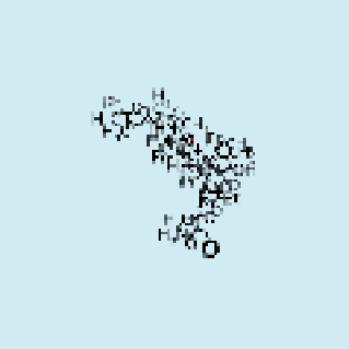 C/C=C\C[C@@H](C)[C@H](O)C(C(=O)N[C@@H](CC)C(=O)N(C)CC(=O)N(C)[C@@H](Cc1ccccc1)C(N)=O)N(C)C(=O)[C@@H](C(C)C)N(C)C(=O)[C@@H](CC(C)C)N(C)C(=O)[C@@H](CC(C)C)N(C)C(=O)[C@H](C)NC(=O)[C@@H](C)NC(=O)CN(C)C(=O)[C@H](C)C(C)C